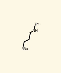 CCCCCC[CH]NC(C)C